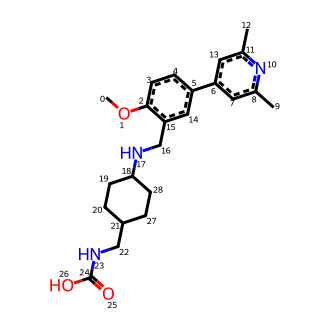 COc1ccc(-c2cc(C)nc(C)c2)cc1CNC1CCC(CNC(=O)O)CC1